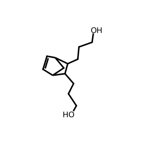 OCCCC1C2C=CC(C2)C1CCCO